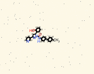 Cc1ccc(-c2ccc(NC(=O)N3N=C(c4cccnc4)CC3c3ccccc3O)cc2)cc1